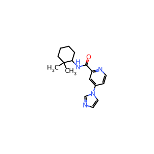 CC1(C)CCCCC1NC(=O)c1cc(-n2ccnc2)ccn1